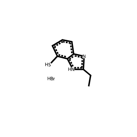 Br.CCc1nc2cccc(S)c2[nH]1